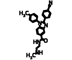 CNCCNC(=O)c1ccc2c(c1)nc(-c1ccc(C#N)cc1)n2-c1ccc(C)cc1